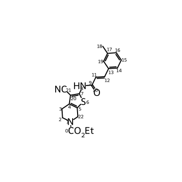 CCOC(=O)N1CCc2c(sc(NC(=O)/C=C/c3cccc(C)c3)c2C#N)C1